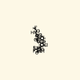 O=C(NC1CC(N(c2cc(Oc3c(Cl)cc(-n4nc(C(F)F)c(=O)[nH]c4=O)cc3Cl)ccc2O)[SH](=O)=O)C1)C1CC1